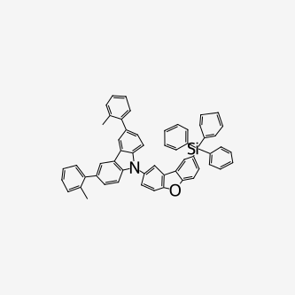 Cc1ccccc1-c1ccc2c(c1)c1cc(-c3ccccc3C)ccc1n2-c1ccc2oc3ccc([Si](c4ccccc4)(c4ccccc4)c4ccccc4)cc3c2c1